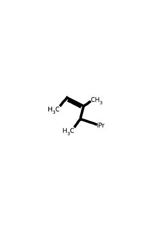 C/[C]=C(/C)C(C)C(C)C